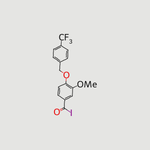 COc1cc(C(=O)I)ccc1OCc1ccc(C(F)(F)F)cc1